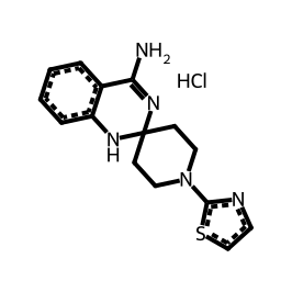 Cl.NC1=NC2(CCN(c3nccs3)CC2)Nc2ccccc21